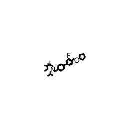 CCC(C)[C@H](C)CN(Cc1ccc(-c2ccc(COC3CCCC3)c(F)c2)cc1)CC(C)C